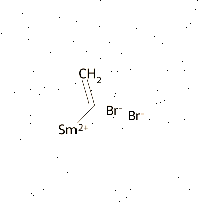 C=[CH][Sm+2].[Br-].[Br-]